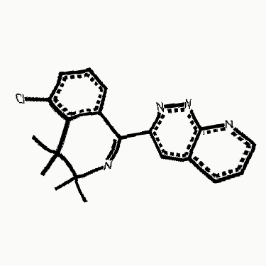 CC1(C)N=C(c2cc3cccnc3nn2)c2cccc(Cl)c2C1(C)C